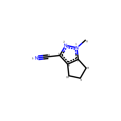 Cn1nc(C#N)c2c1CCC2